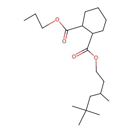 CCCOC(=O)C1CCCCC1C(=O)OCCC(C)CC(C)(C)C